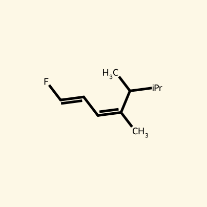 C/C(=C/C=C/F)C(C)C(C)C